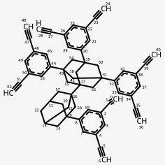 C#Cc1cc(C#C)cc(C23CC4CC(C2)CC(C25CC6(c7cc(C#C)cc(C#C)c7)CC(c7cc(C#C)cc(C#C)c7)(CC(c7cc(C#C)cc(C#C)c7)(C6)C2)C5)(C4)C3)c1